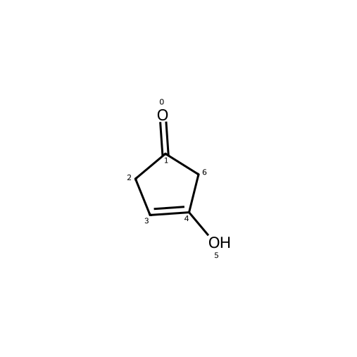 O=C1CC=C(O)C1